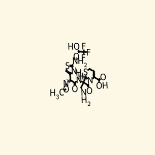 CO/N=C(\C(=O)NC1(CN)C(=O)N2C(C(=O)O)=CCS[C@H]21)c1csc(N)n1.O=C(O)C(F)(F)F